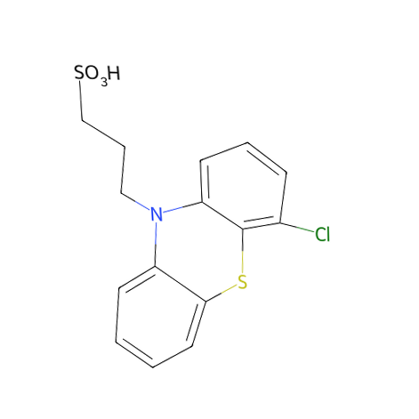 O=S(=O)(O)CCCN1c2ccccc2Sc2c(Cl)cccc21